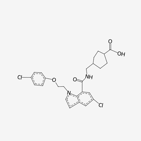 O=C(NCC1CCC(C(=O)O)CC1)c1cc(Cl)cc2ccn(CCOc3ccc(Cl)cc3)c12